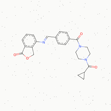 O=C1OCc2c(/N=C/c3ccc(C(=O)N4CCN(C(=O)C5CC5)CC4)cc3)cccc21